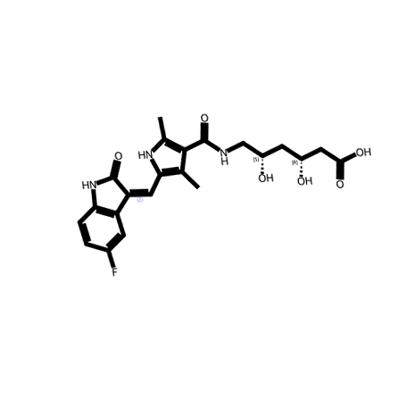 Cc1[nH]c(/C=C2\C(=O)Nc3ccc(F)cc32)c(C)c1C(=O)NC[C@@H](O)C[C@@H](O)CC(=O)O